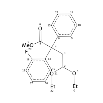 CCOC(CC(C(=O)OC)(c1ccccc1)c1ccccc1F)OCC